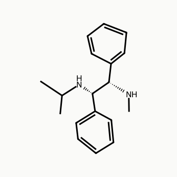 CN[C@@H](c1ccccc1)[C@@H](NC(C)C)c1ccccc1